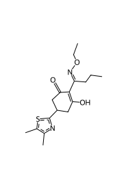 CCCC(=NOCC)C1=C(O)CC(c2nc(C)c(C)s2)CC1=O